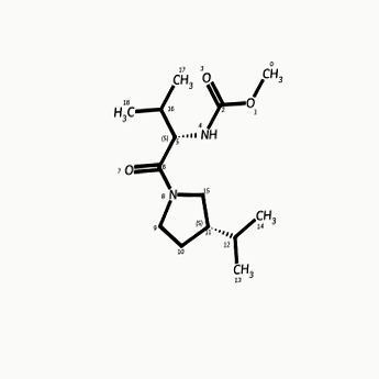 COC(=O)N[C@H](C(=O)N1CC[C@@H](C(C)C)C1)C(C)C